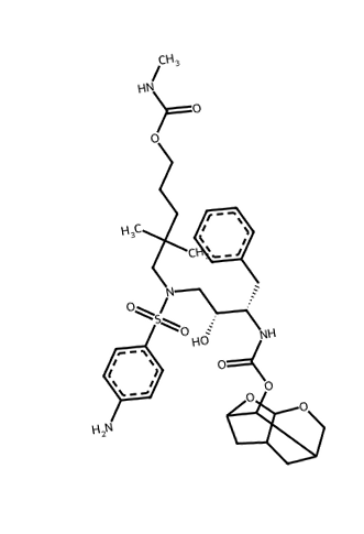 CNC(=O)OCCCC(C)(C)CN(C[C@@H](O)[C@H](Cc1ccccc1)NC(=O)OC1C2COC3OC1CC3C2)S(=O)(=O)c1ccc(N)cc1